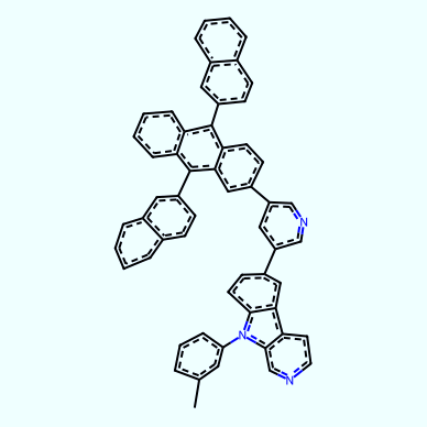 Cc1cccc(-n2c3ccc(-c4cncc(-c5ccc6c(-c7ccc8ccccc8c7)c7ccccc7c(-c7ccc8ccccc8c7)c6c5)c4)cc3c3ccncc32)c1